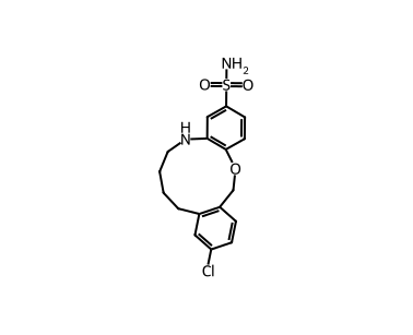 NS(=O)(=O)c1ccc2c(c1)NCCCCc1cc(Cl)ccc1CO2